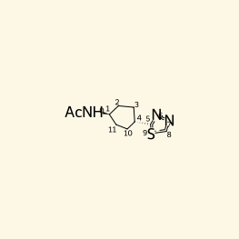 CC(=O)N[C@H]1CC[C@H](c2nncs2)CC1